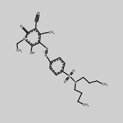 CCCCN(CCCC)S(=O)(=O)c1ccc(/N=N/c2c(C)c(C#N)c(=O)n(CC)c2O)cc1